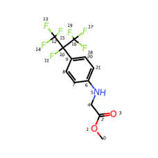 COC(=O)CNc1ccc(C(F)(C(F)(F)F)C(F)(F)F)cc1